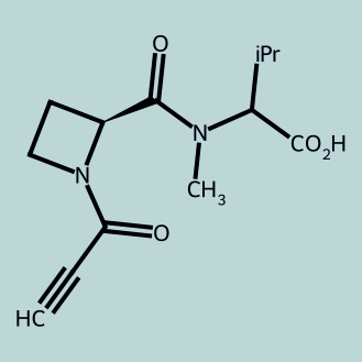 C#CC(=O)N1CC[C@H]1C(=O)N(C)C(C(=O)O)C(C)C